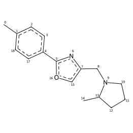 Cc1ccc(-c2nc(CN3CCCC3C)co2)cc1